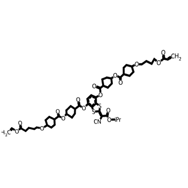 [C-]#[N+]/C(C(=O)OC(C)C)=C1/Sc2c(OC(=O)C3CCC(OC(=O)C4CCC(OCCCCOC(=O)C=C)CC4)CC3)ccc(OC(=O)C3CCC(OC(=O)C4CCC(OCCCCC(=O)OC=C)CC4)CC3)c2S1